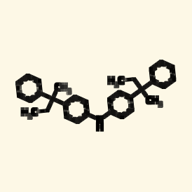 CCC(C)(c1ccccc1)c1ccc(Nc2ccc(C(C)(CC)c3ccccc3)cc2)cc1